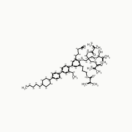 C=C(C)C(=O)OCCCc1cc(-c2ccc(-c3ccc(C4CCC(CCCCC)CC4)cc3)cc2CC)cc(CCCC#N)c1OCC(COC(=O)C(=C)C)(COC(=O)C(=C)C)COC(O)C(=C)C